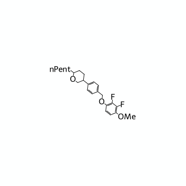 CCCCCC1CCC(c2ccc(COc3ccc(OC)c(F)c3F)cc2)CO1